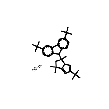 CC(C)(C)C1=CC2C(=C1)C(C)(C)CC2(C)C1c2ccc(C(C)(C)C)cc2-c2cc(C(C)(C)C)ccc21.[Cl-].[Cl-].[Ti+2]